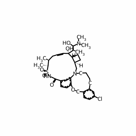 C[C@H](C(O)N(C)C)[C@]1(O)/C=C/C[C@H](C)[C@@H](C)S(=O)(=O)NC(=O)c2ccc3c(c2)N(CCCCc2cc(Cl)ccc2CO3)C[C@@H]2CC[C@H]21